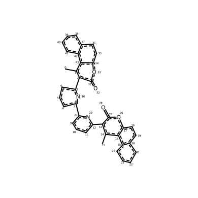 Cc1c(-c2cccc(-c3cccc(-c4c(C)c5c(ccc6ccccc65)oc4=O)n3)n2)c(=O)oc2ccc3ccccc3c12